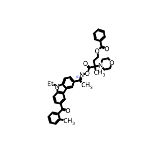 CCn1c2ccc(C(=O)c3ccccc3C)cc2c2cc(/C(C)=N/OC(=O)C(C)(CCOC(=O)c3ccccc3)N3CCOCC3)ccc21